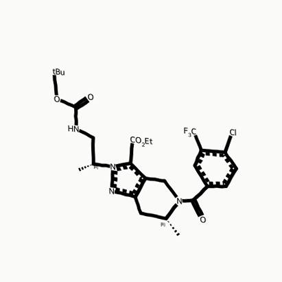 CCOC(=O)c1c2c(nn1[C@H](C)CNC(=O)OC(C)(C)C)C[C@@H](C)N(C(=O)c1ccc(Cl)c(C(F)(F)F)c1)C2